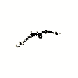 C=CC(=O)OCCCCOc1ccc(C(=O)Oc2ccc(OC(=O)c3cc(F)c(OCCOCCOCCOC(=O)C=C)c(F)c3)c3ccccc23)cc1